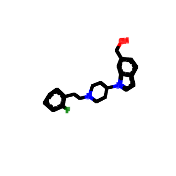 OCc1ccc2ccn(C3CCN(CCc4ccccc4F)CC3)c2c1